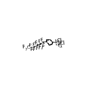 CC(C)(c1ccc(C(F)(F)C(F)(F)C(F)(F)C(F)(F)C(F)(F)C(F)(F)F)cc1)[Si](Cl)(Cl)Cl